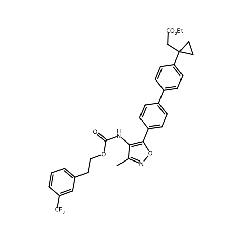 CCOC(=O)CC1(c2ccc(-c3ccc(-c4onc(C)c4NC(=O)OCCc4cccc(C(F)(F)F)c4)cc3)cc2)CC1